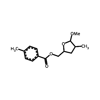 COC1OC(COC(=O)c2ccc(C)cc2)CC1C